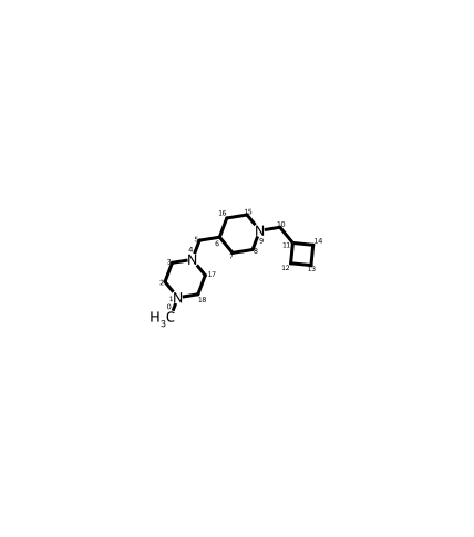 CN1CCN(CC2CCN(CC3CCC3)CC2)CC1